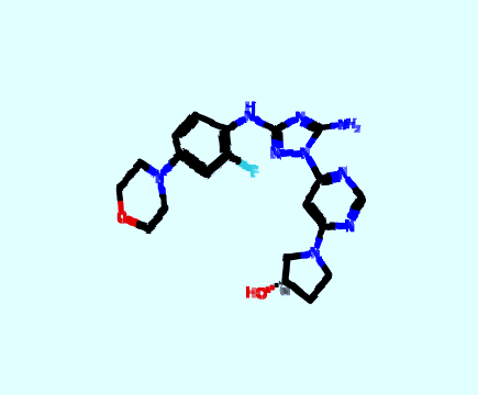 Nc1nc(Nc2ccc(N3CCOCC3)cc2F)nn1-c1cc(N2CC[C@H](O)C2)ncn1